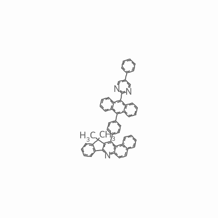 CC1(C)c2ccccc2-c2nc3ccc4ccccc4c3c(-c3ccc(-c4c5ccccc5c(-c5ncc(-c6ccccc6)cn5)c5ccccc45)cc3)c21